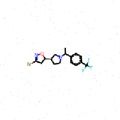 CC(c1ccc(C(F)(F)F)cc1)N1CC[C@@H](C2CC(Br)=NO2)C1